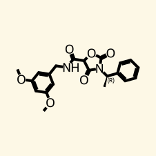 COc1cc(CNC(=O)C2OC(=O)N([C@H](C)c3ccccc3)C2=O)cc(OC)c1